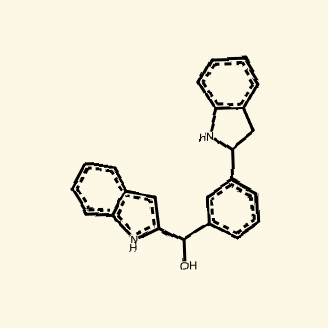 OC(c1cccc(C2Cc3ccccc3N2)c1)c1cc2ccccc2[nH]1